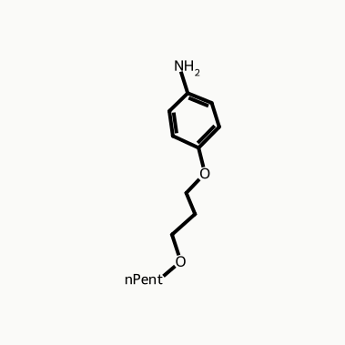 CCCCCOCCCOc1ccc(N)cc1